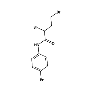 O=C(Nc1ccc(Br)cc1)C(Br)CCBr